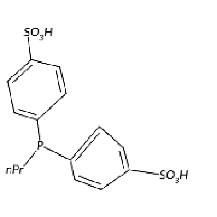 CCCP(c1ccc(S(=O)(=O)O)cc1)c1ccc(S(=O)(=O)O)cc1